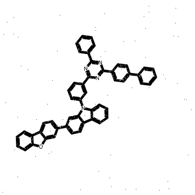 c1ccc(-c2ccc(-c3nc(-c4ccccc4)nc(-c4cccc(-n5c6ccccc6c6ccc(-c7ccc8c(c7)oc7ccccc78)cc65)c4)n3)cc2)cc1